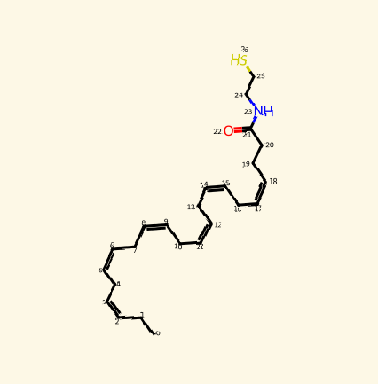 CC/C=C\C/C=C\C/C=C\C/C=C\C/C=C\C/C=C\CCC(=O)NCCS